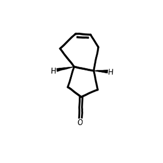 O=C1C[C@H]2CC=CC[C@H]2C1